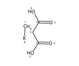 O=C(O)CC(=O)O.[CH3][K]